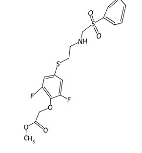 COC(=O)COc1c(F)cc(SCCNCS(=O)(=O)c2ccccc2)cc1F